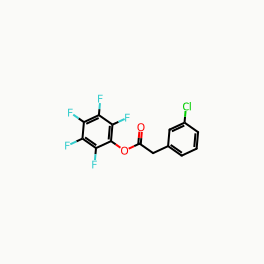 O=C(Cc1cccc(Cl)c1)Oc1c(F)c(F)c(F)c(F)c1F